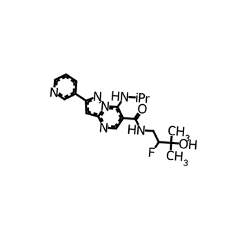 CC(C)Nc1c(C(=O)NCC(F)C(C)(C)O)cnc2cc(-c3cccnc3)nn12